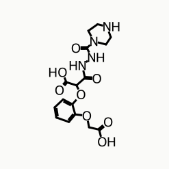 O=C(O)COc1ccccc1OC(C(=O)O)C(=O)NNC(=O)N1CCNCC1